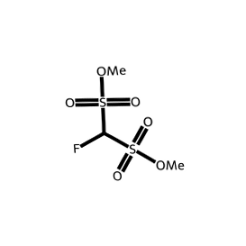 COS(=O)(=O)C(F)S(=O)(=O)OC